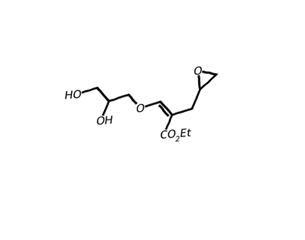 CCOC(=O)C(=COCC(O)CO)CC1CO1